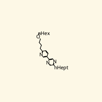 CCCCCCCc1cnc(-c2ccc(CCCCOCCCCCC)nc2)cn1